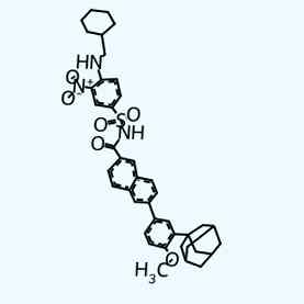 COc1ccc(-c2ccc3cc(C(=O)NS(=O)(=O)c4ccc(NCC5CCCCC5)c([N+](=O)[O-])c4)ccc3c2)cc1C12CC3CC(CC(C3)C1)C2